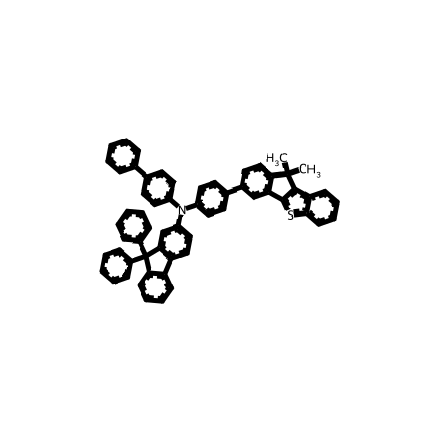 CC1(C)c2ccc(-c3ccc(N(c4ccc(-c5ccccc5)cc4)c4ccc5c(c4)C(c4ccccc4)(c4ccccc4)c4ccccc4-5)cc3)cc2-c2sc3ccccc3c21